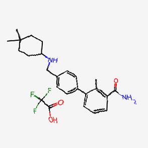 Cc1c(C(N)=O)cccc1-c1ccc(CNC2CCC(C)(C)CC2)cc1.O=C(O)C(F)(F)F